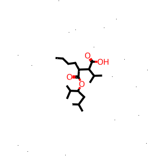 CCCCC(C(=O)OC(CC(C)C)C(C)C)C(C(=O)O)C(C)C